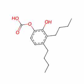 CCCCc1ccc(OC(=O)O)c(O)c1CCCC